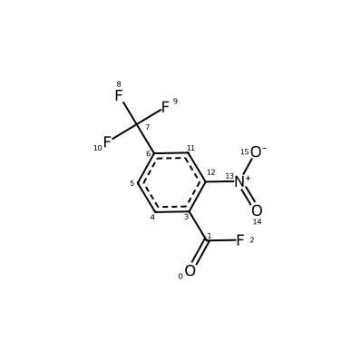 O=C(F)c1ccc(C(F)(F)F)cc1[N+](=O)[O-]